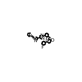 O=c1ccc(-c2cccc(F)c2)nn1Cc1cccc(-c2ncc(-c3cnn(CCN4CCCC4)c3)cn2)c1